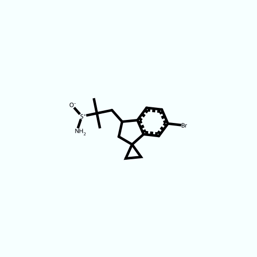 CC(C)(CC1CC2(CC2)c2cc(Br)ccc21)[S+](N)[O-]